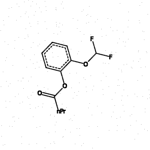 CCCC(=O)Oc1ccccc1OC(F)F